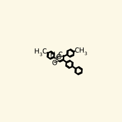 C=C(C(=CS(=O)(=O)c1ccc(C)cc1)c1ccc(-c2ccccc2)cc1)c1ccc(C)cc1